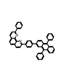 c1ccc(-c2ccc3ccc4ccc(-c5ccc(-c6ccc7c(-c8ccccc8)c8ccccc8c(-c8ccccc8)c7c6)cc5)nc4c3n2)cc1